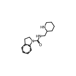 O=C(NCC1CCCCN1)N1CCc2ccccc21